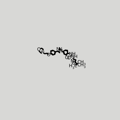 CC(C)(C)c1cc(NC(=O)Nc2ccc(-n3cc(-c4ccc(OCCN5CCOCC5)cc4)nn3)cc2Cl)no1